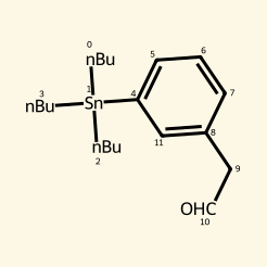 CCC[CH2][Sn]([CH2]CCC)([CH2]CCC)[c]1cccc(CC=O)c1